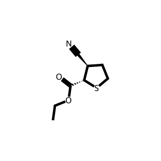 CCOC(=O)[C@H]1SCC[C@@H]1C#N